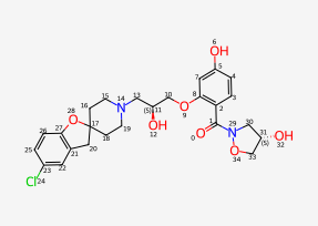 O=C(c1ccc(O)cc1OC[C@@H](O)CN1CCC2(CC1)Cc1cc(Cl)ccc1O2)N1C[C@H](O)CO1